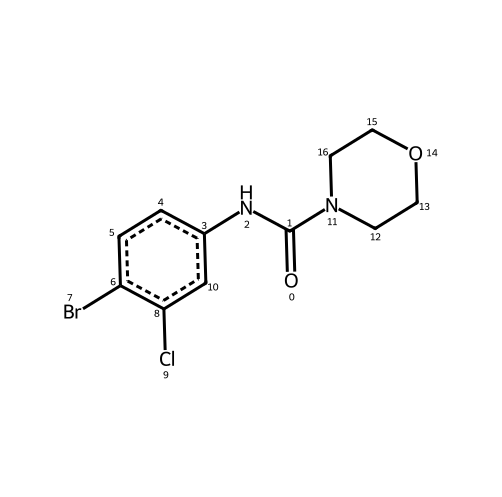 O=C(Nc1ccc(Br)c(Cl)c1)N1CCOCC1